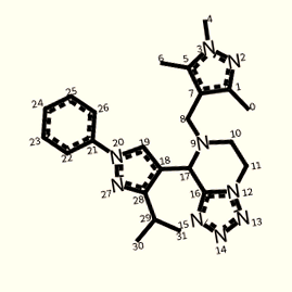 Cc1nn(C)c(C)c1CN1CCn2nnnc2C1c1cn(-c2ccccc2)nc1C(C)C